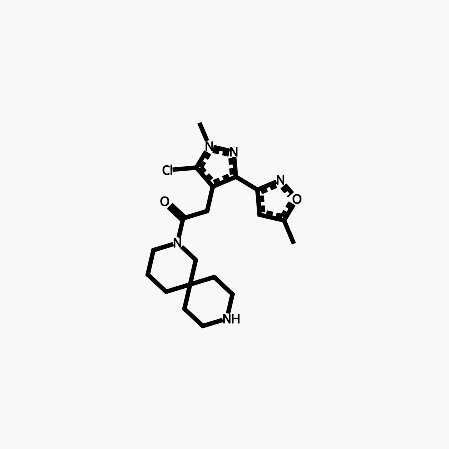 Cc1cc(-c2nn(C)c(Cl)c2CC(=O)N2CCCC3(CCNCC3)C2)no1